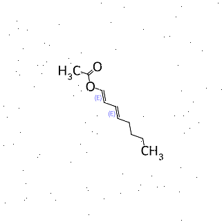 CCCC/C=C/C=C/OC(C)=O